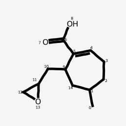 CC1CCC=C(C(=O)O)C(CC2CO2)C1